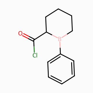 O=C(Cl)C1CCCCB1c1ccccc1